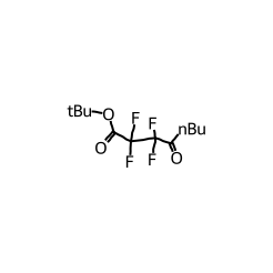 CCCCC(=O)C(F)(F)C(F)(F)C(=O)OC(C)(C)C